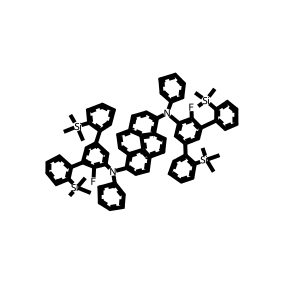 C[Si](C)(C)c1ccccc1-c1cc(-c2ccccc2[Si](C)(C)C)c(F)c(N(c2ccccc2)c2ccc3ccc4c(N(c5ccccc5)c5cc(-c6ccccc6[Si](C)(C)C)cc(-c6ccccc6[Si](C)(C)C)c5F)ccc5ccc2c3c54)c1